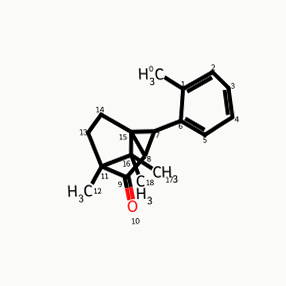 Cc1ccccc1C1C2C(=O)C3(C)CCC21C3(C)C